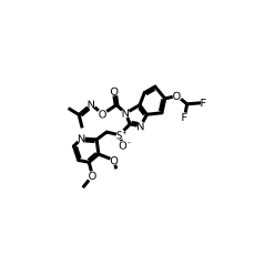 COc1ccnc(C[S+]([O-])c2nc3cc(OC(F)F)ccc3n2C(=O)ON=C(C)C)c1OC